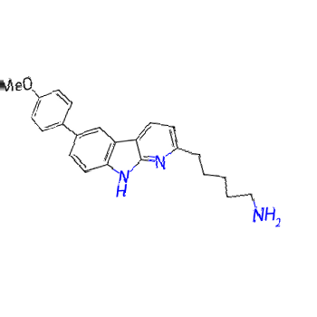 COc1ccc(-c2ccc3[nH]c4nc(CCCCCN)ccc4c3c2)cc1